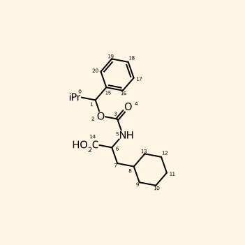 CC(C)C(OC(=O)NC(CC1CCCCC1)C(=O)O)c1ccccc1